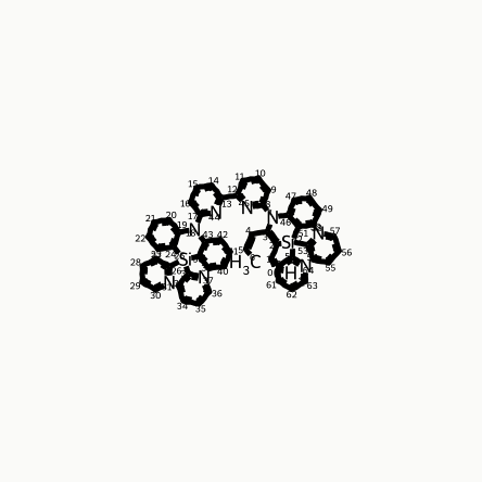 C=CC1=C(/C=C\C)N(c2cccc(-c3cccc(N4c5ccccc5[Si](c5ccccn5)(c5ccccn5)c5ccccc54)n3)n2)c2ccccc2[Si]1(c1ccccn1)c1ccccn1